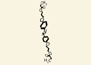 C=CC(=O)OCCCOc1ccc(/N=N/c2ccc(OCCCOC(=O)C=C)cc2)cc1